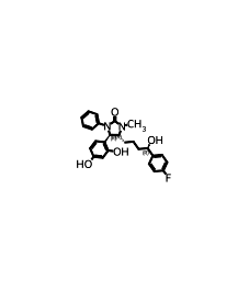 CN1C(=O)N(c2ccccc2)[C@H](c2ccc(O)cc2O)[C@H]1CCC[C@@H](O)c1ccc(F)cc1